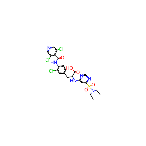 CCN(CC)S(=O)(=O)c1cc(N[C@@H](Cc2ccc(NC(=O)c3c(Cl)cncc3Cl)c(Cl)c2)C(=O)O)ncn1